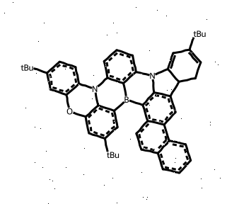 CC(C)(C)C1=CCC2C(=C1)N1c3cccc4c3B(c3cc(C(C)(C)C)cc5c3N4c3ccc(C(C)(C)C)cc3O5)c3c1c2cc1c3ccc2ccccc21